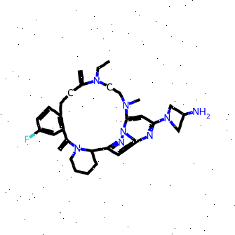 C=C1CCc2ccc(F)cc2C(=C)N2CCCCC2c2cc3nc(N4CC(N)C4)cc(n3n2)N(C)CCN1CC